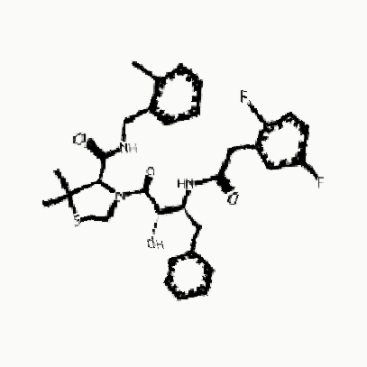 Cc1ccccc1CNC(=O)[C@H]1N(C(=O)[C@@H](O)[C@H](Cc2ccccc2)NC(=O)Cc2cc(F)ccc2F)CSC1(C)C